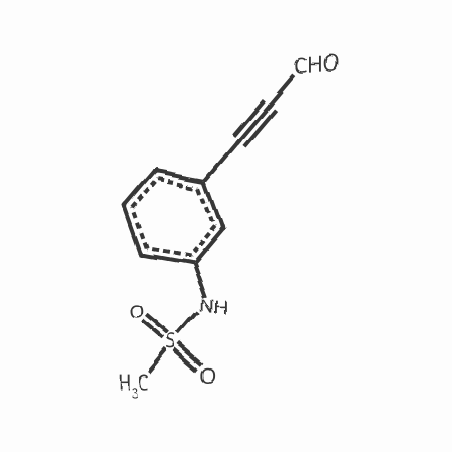 CS(=O)(=O)Nc1cccc(C#CC=O)c1